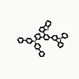 c1ccc(-c2ccc(N(c3ccc(-c4ccccc4)cc3)c3cccc(-c4ccc(-c5ccc6c(c5)c5ccccc5n6-c5ccccc5)cc4-c4cccc5c4oc4ccccc45)c3)cc2)cc1